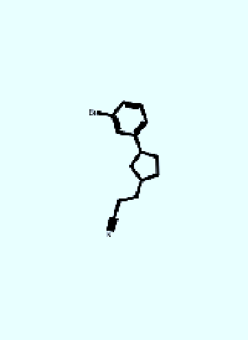 N#CCCC1CCC(c2cccc(Br)c2)C1